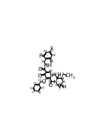 CC[C@H]1C[C@@H]2CC2N2C(=O)c3c(OCc4ccccc4)c(=O)c(C(=O)NCc4c(F)cc(F)cc4F)cn3C[C@H]12